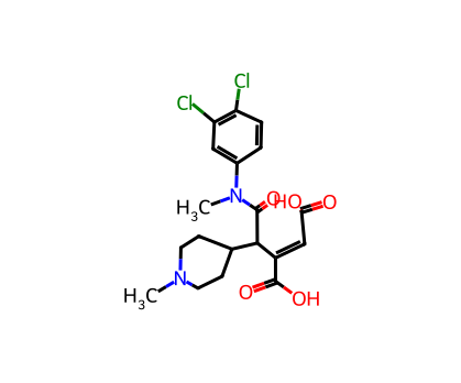 CN1CCC(C(C(=O)N(C)c2ccc(Cl)c(Cl)c2)/C(=C\C(=O)O)C(=O)O)CC1